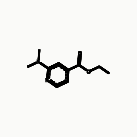 CCOC(=O)c1ccnc(N(C)C)c1